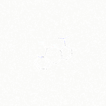 CN(C)c1cccc2c1OC(O)c1ncccc1C2